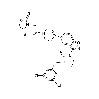 CCN(C(=O)OCc1cc(Cl)cc(Cl)c1)c1noc2ccc(C3=CCN(C(=O)CN4C(=O)CSC4=S)CC3)cc12